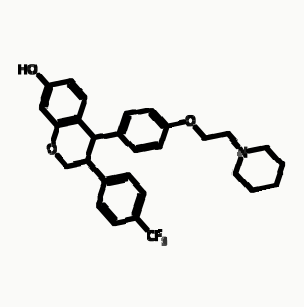 Oc1ccc2c(c1)OCC(c1ccc(C(F)(F)F)cc1)C2c1ccc(OCCN2CCCCC2)cc1